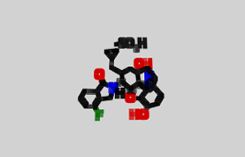 CS(=O)(=O)O.O=C1c2cccc(F)c2CN1[C@@H]1C(CC2CC2)CC2(O)C3Cc4ccc(O)c5c4[C@@]2(CCN3)[C@H]1O5